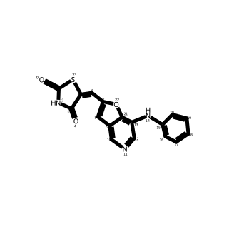 O=C1NC(=O)/C(=C\c2cc3cncc(Nc4ccccc4)c3o2)S1